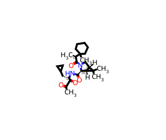 CC(=O)C(=O)[C@H](CC1CC1)NC(=O)[C@@H]1[C@@H]2[C@H](CN1C(=O)[C@@H](C)C1(C)CCCCC1)C2(C)C